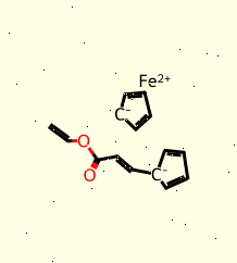 C=COC(=O)C=C[c-]1cccc1.[Fe+2].c1cc[cH-]c1